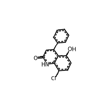 O=c1cc(-c2ccccc2)c2c(O)ccc(Cl)c2[nH]1